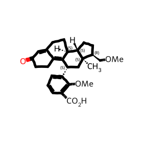 COC[C@@H]1CC[C@H]2[C@@H]3CCC4=CC(=O)CCC4=C3[C@@H](c3cccc(C(=O)O)c3OC)C[C@]12C